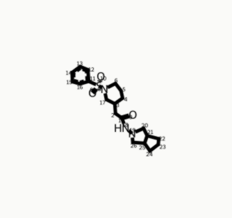 O=C(CC1CCCN(S(=O)(=O)c2ccccc2)C1)NN1CC2CCCC2C1